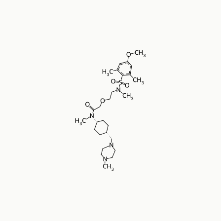 COc1cc(C)c(S(=O)(=O)N(C)CCOCC(=O)N(C)[C@H]2CC[C@@H](CN3CCN(C)CC3)CC2)c(C)c1